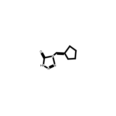 O=c1[nH]nnn1C=C1CCCC1